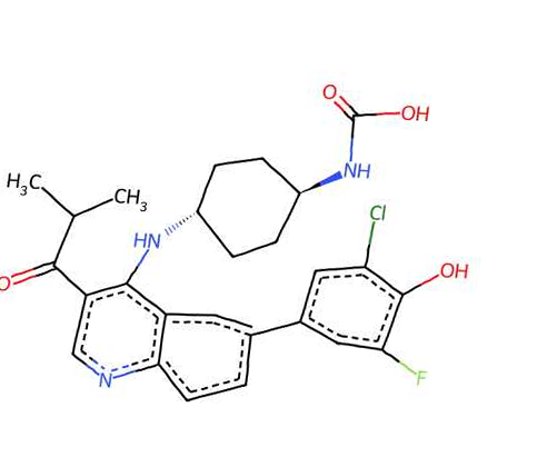 CC(C)C(=O)c1cnc2ccc(-c3cc(F)c(O)c(Cl)c3)cc2c1N[C@H]1CC[C@H](NC(=O)O)CC1